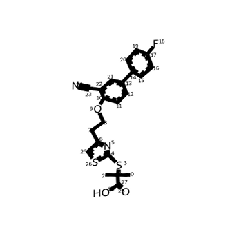 CC(C)(Sc1nc(CCOc2ccc(-c3ccc(F)cc3)cc2C#N)cs1)C(=O)O